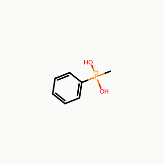 C[PH](O)(O)c1ccccc1